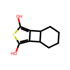 Oc1sc(O)c2c1C1CCCCC21